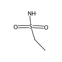 CCS([NH])(=O)=O